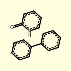 O=c1cccc[nH]1.c1ccc(-c2ccccc2)cc1